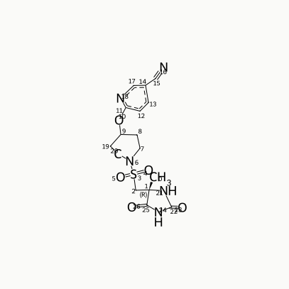 C[C@@]1(CS(=O)(=O)N2CCC(Oc3ccc(C#N)cn3)CC2)NC(=O)NC1=O